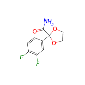 NC(=O)C1(c2ccc(F)c(F)c2)OCCO1